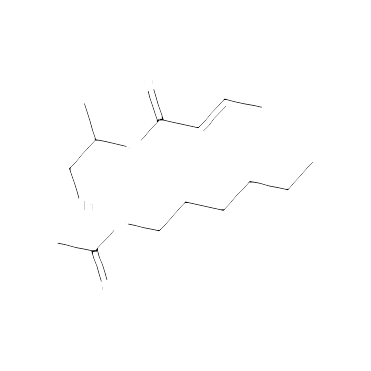 CC=CC(=O)OC(C)CC(C)C.CCCCCCOC(C)=O